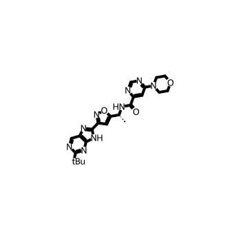 C[C@@H](NC(=O)c1cc(N2CCOCC2)ncn1)c1cc(-c2nc3cnc(C(C)(C)C)nc3[nH]2)no1